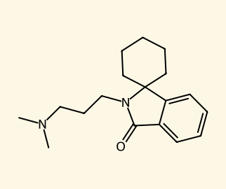 CN(C)CCCN1C(=O)c2ccccc2C12CCCCC2